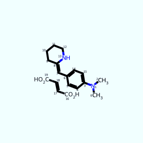 CN(C)c1ccc(/C=C2/CCCCN2)cc1.O=C(O)/C=C/C(=O)O